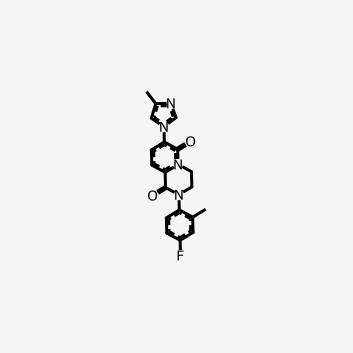 Cc1cn(-c2ccc3n(c2=O)CCN(c2ccc(F)cc2C)C3=O)cn1